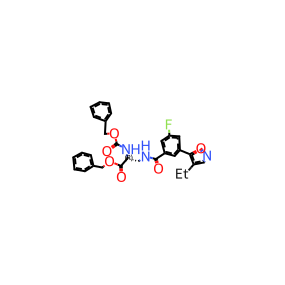 CCc1cnoc1-c1cc(F)cc(C(=O)NC[C@@H](NC(=O)OCc2ccccc2)C(=O)OCc2ccccc2)c1